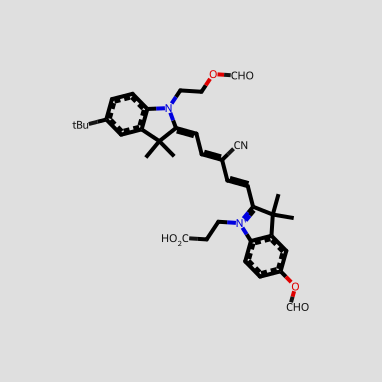 CC(C)(C)c1ccc2c(c1)C(C)(C)\C(=C/C=C(C#N)/C=C/C1=[N+](CCC(=O)O)c3ccc(OC=O)cc3C1(C)C)N2CCOC=O